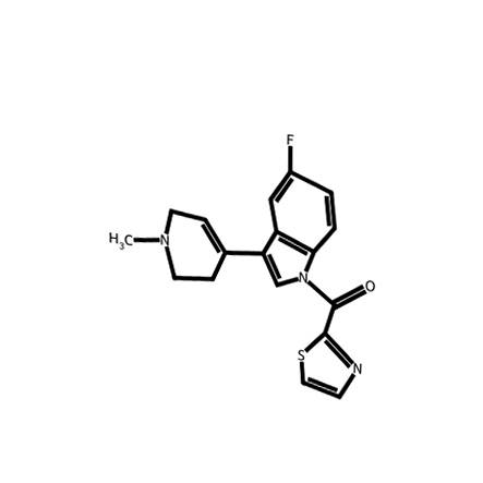 CN1CC=C(c2cn(C(=O)c3nccs3)c3ccc(F)cc23)CC1